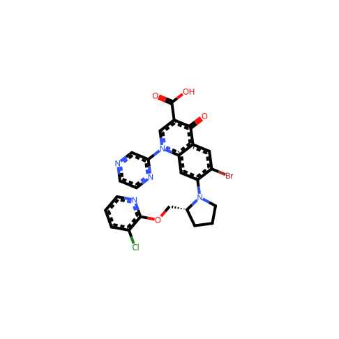 O=C(O)c1cn(-c2cnccn2)c2cc(N3CCC[C@@H]3COc3ncccc3Cl)c(Br)cc2c1=O